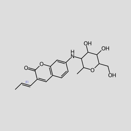 C/C=C/c1cc2ccc(NC3C(C)OC(CO)C(O)C3O)cc2oc1=O